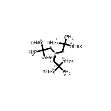 CCCCCCC(P)(CCCCCC)CP(CC(P)(CCCCCC)CCCCCC)CC(P)(CCCCCC)CCCCCC